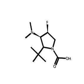 CN(C)[C@@H]1C(C(C)(C)C)N(C(=O)O)C[C@@H]1F